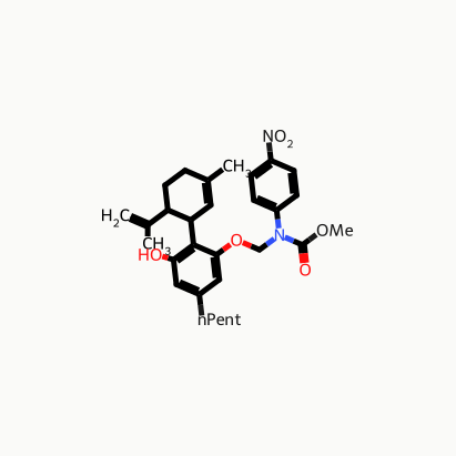 C=C(C)C1CCC(C)=CC1c1c(O)cc(CCCCC)cc1OCN(C(=O)OC)c1ccc([N+](=O)[O-])cc1